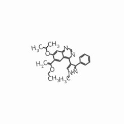 C=C(OCC)c1cc2c(-c3cn(C)nc3-c3ccccc3)ncnc2cc1OC(C)C